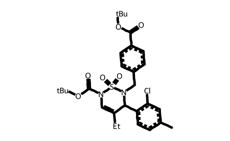 CCC1=CN(C(=O)OC(C)(C)C)S(=O)(=O)N(Cc2ccc(C(=O)OC(C)(C)C)cc2)C1c1ccc(C)cc1Cl